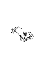 C=C(/C=C/c1cccc(-c2nnc(-c3ncccc3N)[nH]2)c1)c1ncccc1I